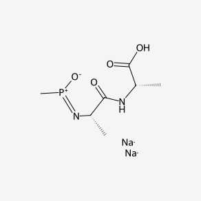 C[C@H](/N=[P+](/C)[O-])C(=O)N[C@@H](C)C(=O)O.[Na].[Na]